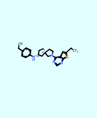 N#CCc1ccc(N[C@@H]2CC[C@@]3(CCN(c4ncnc5sc(CC(F)(F)F)cc45)C3)C2)cc1